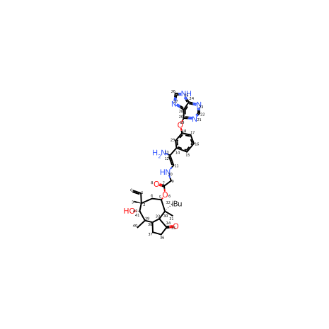 C=C[C@]1(C)CC(OC(=O)CN/C=C(\N)c2cccc(Oc3ncnc4[nH]cnc34)c2)[C@](C)(C(C)CC)C2C(=O)CCC2C(C)[C@@H]1O